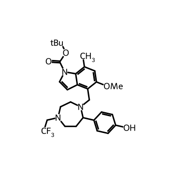 COc1cc(C)c2c(ccn2C(=O)OC(C)(C)C)c1CN1CCN(CC(F)(F)F)CCC1c1ccc(O)cc1